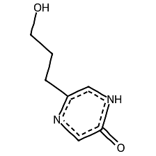 O=c1cnc(CCCO)c[nH]1